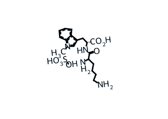 Cn1cc(C[C@@H](NC(=O)C(N)CCCCN)C(=O)O)c2ccccc21.O=S(=O)(O)O